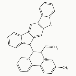 C=CC1C(C2c3cc4sc5ccccc5c4cc3-c3cccc[n+]32)c2ccccc2-c2ccc(C)c[n+]21